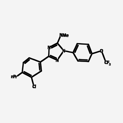 CCCc1ccc(-c2nc(NC)n(-c3ccc(OC(F)(F)F)cc3)n2)cc1Cl